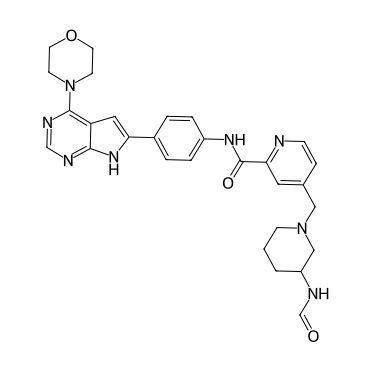 O=CNC1CCCN(Cc2ccnc(C(=O)Nc3ccc(-c4cc5c(N6CCOCC6)ncnc5[nH]4)cc3)c2)C1